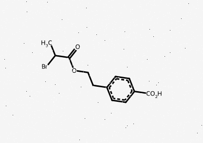 CC(Br)C(=O)OCCc1ccc(C(=O)O)cc1